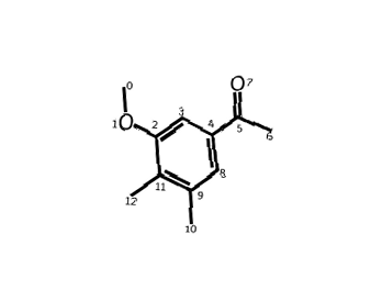 COc1cc(C(C)=O)cc(C)c1C